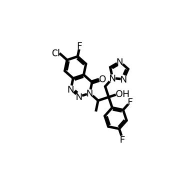 CC(n1nnc2cc(Cl)c(F)cc2c1=O)C(O)(Cn1cncn1)c1ccc(F)cc1F